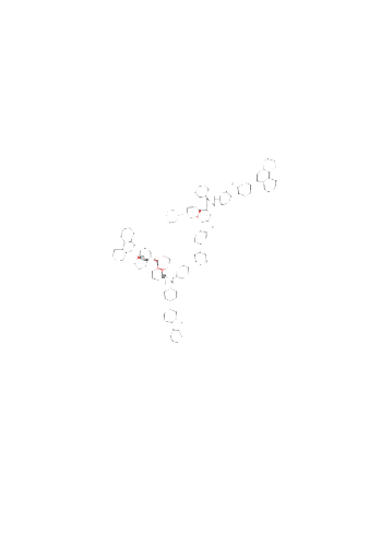 CC1(C)c2ccccc2-c2ccc(-c3ccc(N(c4ccc5c(c4)C(C)(C)c4cc(-c6cc7ccccc7c7ccccc67)ccc4-5)c4ccc(-c5cccc(-c6ccc7c(c6)C(C)(C)c6cc(N(c8ccc9c(c8)C(C)(C)c8cc(-c%10cc%11ccccc%11c%11ccccc%10%11)ccc8-9)c8ccccc8-c8cccc(-c9ccccc9)c8)ccc6-7)c5)cc4-c4ccc(-c5ccccc5)cc4)cc3)cc21